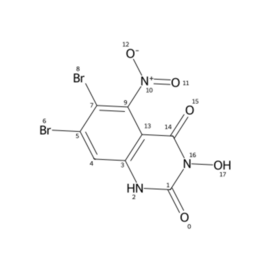 O=c1[nH]c2cc(Br)c(Br)c([N+](=O)[O-])c2c(=O)n1O